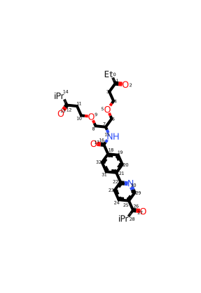 CCC(=O)CCOCC(COCCC(=O)C(C)C)NC(=O)c1ccc(-c2ccc(C(=O)C(C)C)cn2)cc1